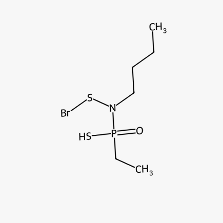 CCCCN(SBr)P(=O)(S)CC